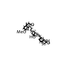 COc1ccc2ncc(=O)n(CCN3C[C@H](CNCc4ccc5c(n4)NC(=O)CS5)[C@H](O)C3)c2n1